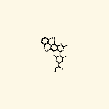 C=CC(=O)N1C[C@@H](C)N(c2nc(C)nc3c(F)c(-c4c(O)cccc4F)c(Cl)cc23)[C@@H](C)C1